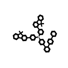 CC1(C)c2ccccc2-c2ccc(-c3ccc(N(c4ccc(-c5ccccc5-c5ccc(-c6ccccc6)cc5)cc4)c4cccc(-c5cccc6c5C(C)(C)c5ccccc5-6)c4)cc3)cc21